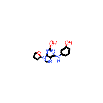 Oc1cccc(Nc2nc(O)nc3c2ncn3C2CCCO2)c1